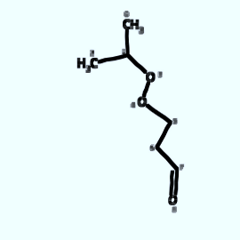 CC(C)OOCCC=O